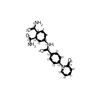 NC(=O)c1ccc(NC(=O)c2ccc(-n3ccccc3=O)cc2)cc1C(N)=O